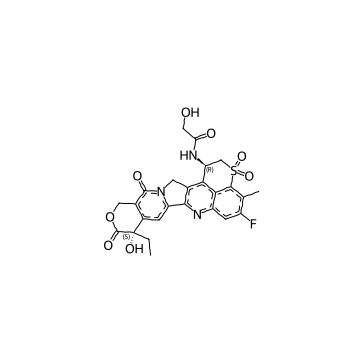 CC[C@@]1(O)C(=O)OCc2c1cc1n(c2=O)Cc2c-1nc1cc(F)c(C)c3c1c2[C@@H](NC(=O)CO)CS3(=O)=O